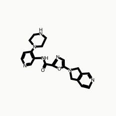 O=C(Nc1cnccc1N1CCNCC1)c1ncc(N2Cc3ccncc3C2)o1